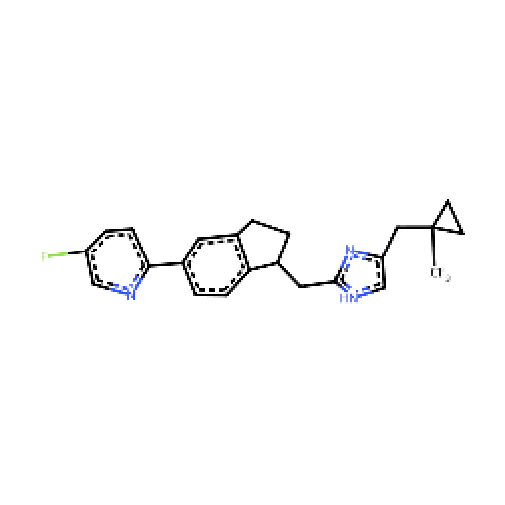 Fc1ccc(-c2ccc3c(c2)CCC3Cc2nc(CC3(C(F)(F)F)CC3)c[nH]2)nc1